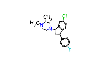 CC1CN(C2CC(c3ccc(F)cc3)c3ccc(Cl)cc32)CCN1C